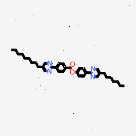 CCCCCCCCCc1cnc(-c2ccc(C(=O)Oc3ccc(-c4ncc(CCCCCCC)cn4)cc3)cc2)nc1